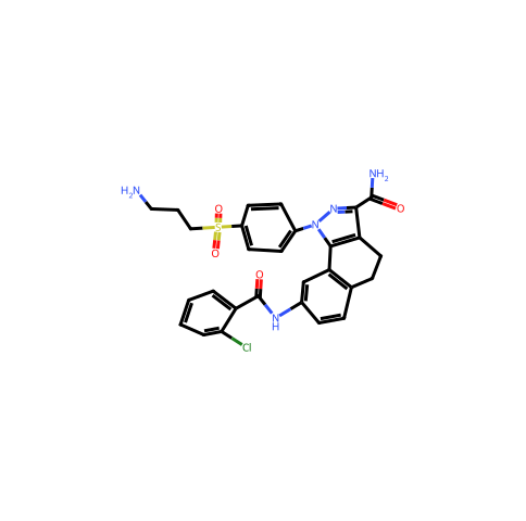 NCCCS(=O)(=O)c1ccc(-n2nc(C(N)=O)c3c2-c2cc(NC(=O)c4ccccc4Cl)ccc2CC3)cc1